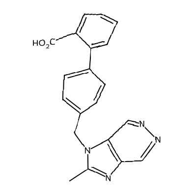 Cc1nc2cnncc2n1Cc1ccc(-c2ccccc2C(=O)O)cc1